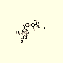 CN(C)C(=O)c1ccc(N2CCC3(CCC3CCN(C)C(=O)C(O)(c3cccc(OC4CC4)c3)C(F)(F)F)CC2)cc1Cl